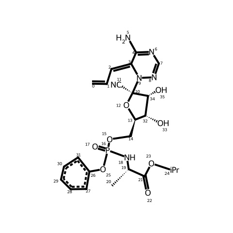 C=C/C=C1/C(N)=NC=NN1[C@]1(C#N)O[C@H](COP(=O)(N[C@@H](C)C(=O)OC(C)C)Oc2ccccc2)[C@@H](O)[C@H]1O